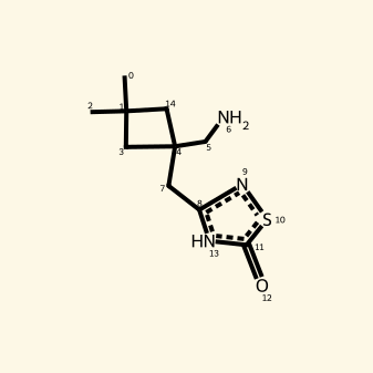 CC1(C)CC(CN)(Cc2nsc(=O)[nH]2)C1